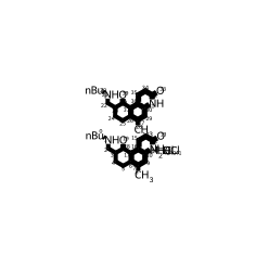 CCCCNCC1CCc2c(C)cc3[nH]c(=O)ccc3c2C1=O.CCCCNCC1CCc2c(C)cc3[nH]c(=O)ccc3c2C1=O.Cl.Cl.O